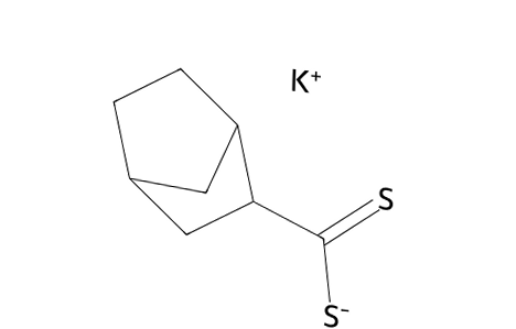 S=C([S-])C1CC2CCC1C2.[K+]